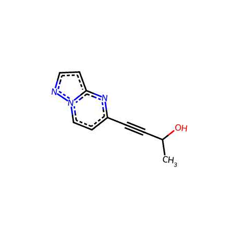 CC(O)C#Cc1ccn2nccc2n1